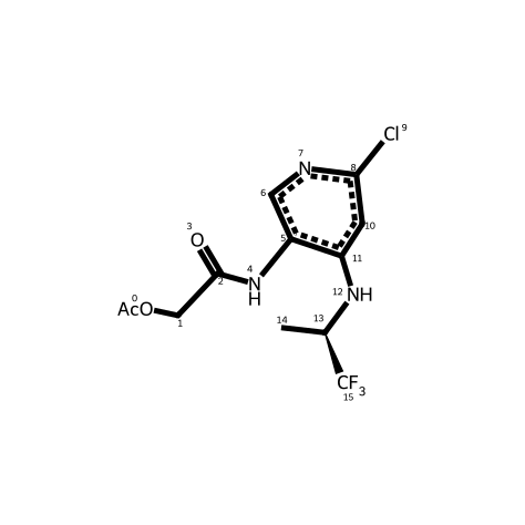 CC(=O)OCC(=O)Nc1cnc(Cl)cc1N[C@H](C)C(F)(F)F